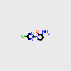 Nc1cccn(-c2ncc(Cl)cn2)c1=O